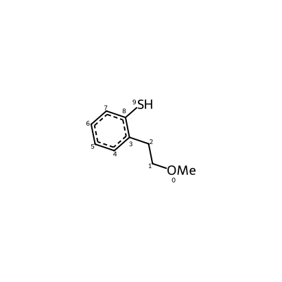 COCCc1ccccc1S